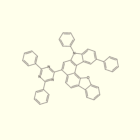 c1ccc(-c2ccc3c(c2)c2c4c(ccc5c6ccccc6oc54)c(-c4nc(-c5ccccc5)nc(-c5ccccc5)n4)cc2n3-c2ccccc2)cc1